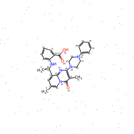 Cc1cc([C@@H](C)Nc2ccccc2C(=O)O)c2nc(N3CCN(c4ccccc4)CC3)c(C)c(=O)n2c1